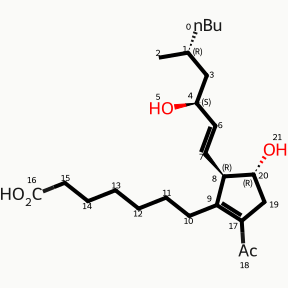 CCCC[C@@H](C)C[C@H](O)C=C[C@@H]1C(CCCCCCC(=O)O)=C(C(C)=O)C[C@H]1O